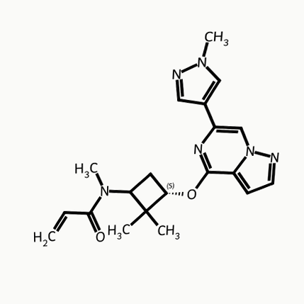 C=CC(=O)N(C)C1C[C@H](Oc2nc(-c3cnn(C)c3)cn3nccc23)C1(C)C